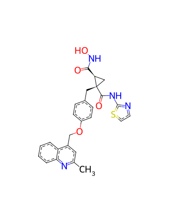 Cc1cc(COc2ccc(C[C@]3(C(=O)Nc4nccs4)C[C@@H]3C(=O)NO)cc2)c2ccccc2n1